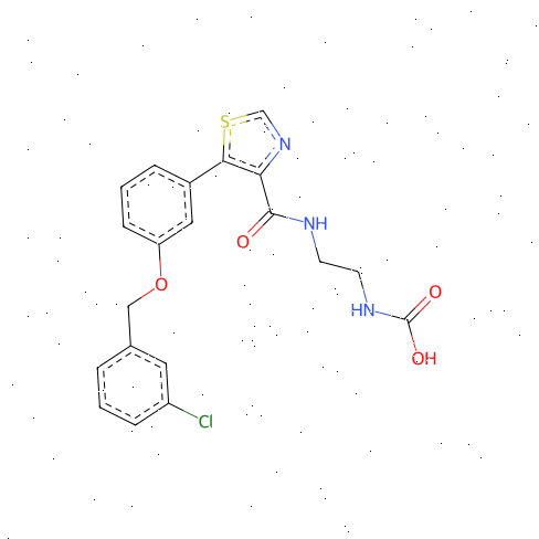 O=C(O)NCCNC(=O)c1ncsc1-c1cccc(OCc2cccc(Cl)c2)c1